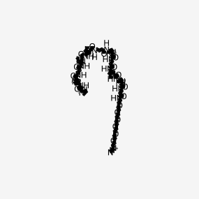 Cn1cc(NC(=O)c2nc(NC(=O)CCNC(=O)c3cc(NC(=O)c4nccn4C)cn3C)cn2C)cc1C(=O)NCCCC(=O)Nc1cn(C)c(C(=O)NCCC(=O)Nc2cc(C(=O)Nc3cn(C)c(C(=O)NCCC(=O)NCCOCCOCCOCCOCCOCCOCCN=[N+]=[N-])n3)n(C)c2)n1